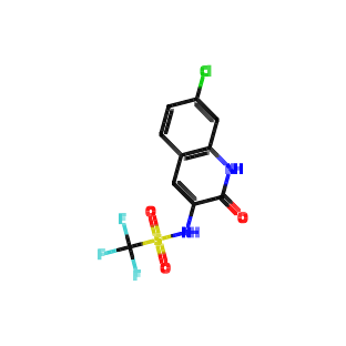 O=c1[nH]c2cc(Cl)ccc2cc1NS(=O)(=O)C(F)(F)F